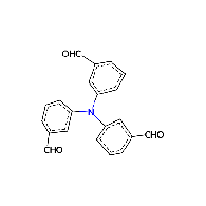 O=Cc1cccc(N(c2cccc(C=O)c2)c2cccc(C=O)c2)c1